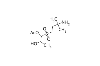 CC(=O)OC(C(C)O)S(=O)(=O)CCC(C)(C)N